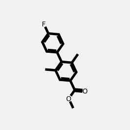 COC(=O)c1cc(C)c(-c2ccc(F)cc2)c(C)c1